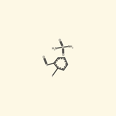 NS(N)(=O)=O.O=Ic1ccccc1I